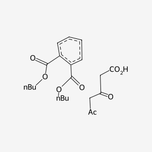 CC(=O)CC(=O)CC(=O)O.CCCCOC(=O)c1ccccc1C(=O)OCCCC